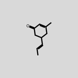 CC=CC1CC(=O)C=C(C)C1